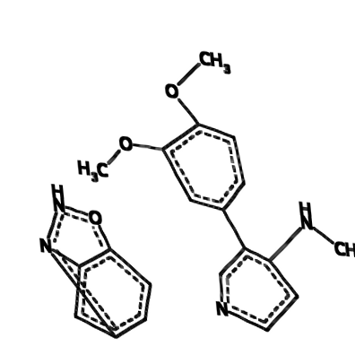 CNc1ccncc1-c1ccc(OC)c(OC)c1.c1cc2cc3c1o[nH]n2-3